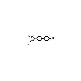 C=CCC(OC)C1CCC(C2CCC(CCC)CC2)CC1